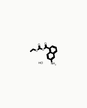 CCOC(=O)OC(=O)c1cccc2cc(N)ccc12.Cl